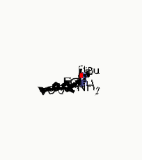 C/C=C(\C=C(\N)C(C#CCC)OCc1c(C)cc(Oc2cccc(OCC3CC3)c2)cc1F)C(C)[C@H](C)CC